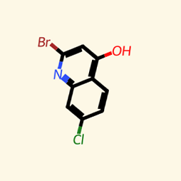 Oc1cc(Br)nc2cc(Cl)ccc12